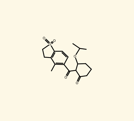 Cc1c(C(=O)C2C(=O)CCCC2OC(C)C)ccc2c1CCS2(=O)=O